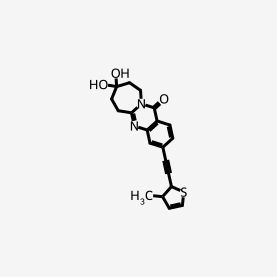 CC1C=CSC1C#Cc1ccc2c(=O)n3c(nc2c1)CCC(O)(O)CC3